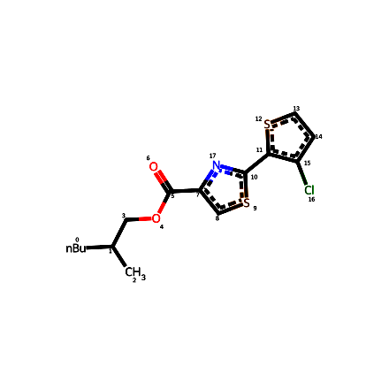 CCCCC(C)COC(=O)c1csc(-c2sccc2Cl)n1